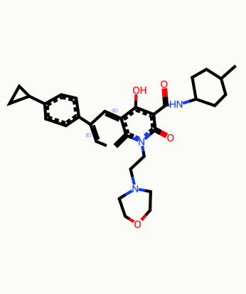 C=c1/c(=C\C(=C/C)c2ccc(C3CC3)cc2)c(O)c(C(=O)NC2CCC(C)CC2)c(=O)n1CCN1CCOCC1